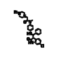 CCN1CCN(CC(=O)N(C)c2ccc(N/C(=C3\C(=O)Nc4cc(Cl)ccc43)c3ccccc3)cc2)CC1